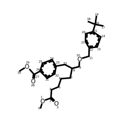 COC(=O)CCCCC(COCc1ccc(C(C)(C)C)cc1)Cc1ccc(C(=O)OC)cc1